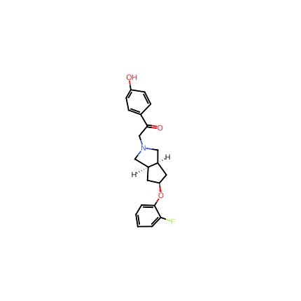 O=C(CN1C[C@H]2C[C@@H](Oc3ccccc3F)C[C@H]2C1)c1ccc(O)cc1